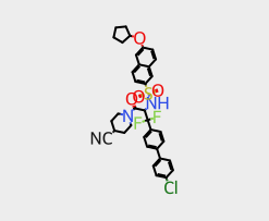 N#CC1CCN(C(=O)C(NS(=O)(=O)c2ccc3cc(OC4CCCC4)ccc3c2)C(F)(F)c2ccc(-c3ccc(Cl)cc3)cc2)CC1